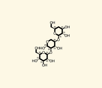 OC[C@H]1C[C@@H](O)[C@H](O)[C@@H](O[C@@H]2CO[C@@H](O)[C@H](O[C@@H]3O[C@H](CO)[C@@H](O)[C@H](O)[C@H]3O)[C@H]2O)O1